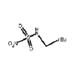 CCCCCNS(=O)(=O)[N+](=O)[O-]